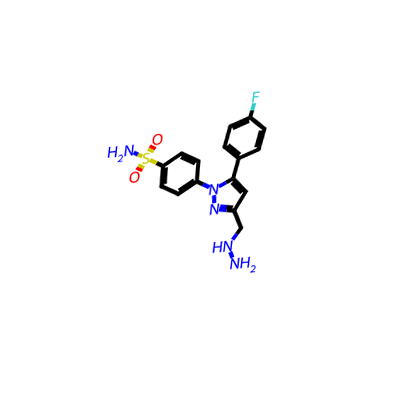 NNCc1cc(-c2ccc(F)cc2)n(-c2ccc(S(N)(=O)=O)cc2)n1